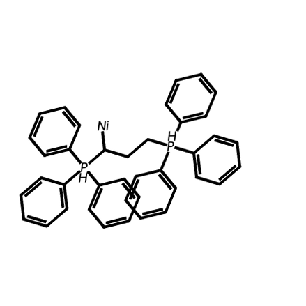 [Ni][CH](CC[PH](c1ccccc1)(c1ccccc1)c1ccccc1)[PH](c1ccccc1)(c1ccccc1)c1ccccc1